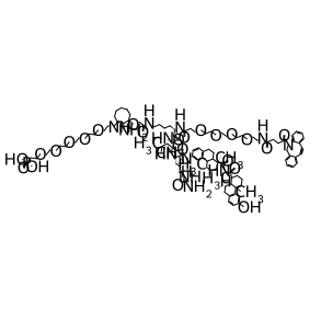 CC(C)[C@H](NC(=O)[C@@H](CCCCNC(=O)COC1CCCCC/C(NCCOCCOCCOCCOCCOCCP(=O)(O)O)=C\1N)NC(=O)CCOCCOCCOCCOCCNC(=O)CCC(=O)N1Cc2ccccc2C#Cc2ccccc21)C(=O)N[C@@H](CCCNC(N)=O)C(=O)Nc1ccc2c(c1)[C@@]1(C)CCC[C@](C)(C(=O)NC(=O)[C@@]3(C)CCC[C@]4(C)c5cc(O)ccc5CC[C@@H]34)C1CC2